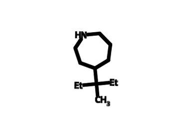 CCC(C)(CC)C1CCCNCC1